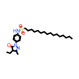 CCCCCCCCCCCCCCCCS(=O)(=O)Nc1ccc(N2N=C(C)C(CC)C2=O)cc1